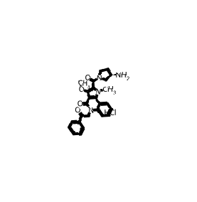 COc1c(C(=O)N2CC[C@@H](N)C2)n(C)c2c1c(=O)n(CC(=O)c1ccccc1)c1ccccc21.Cl